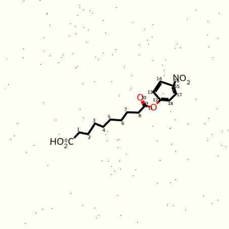 O=C(O)CCCCCCCCC(=O)Oc1ccc([N+](=O)[O-])cc1